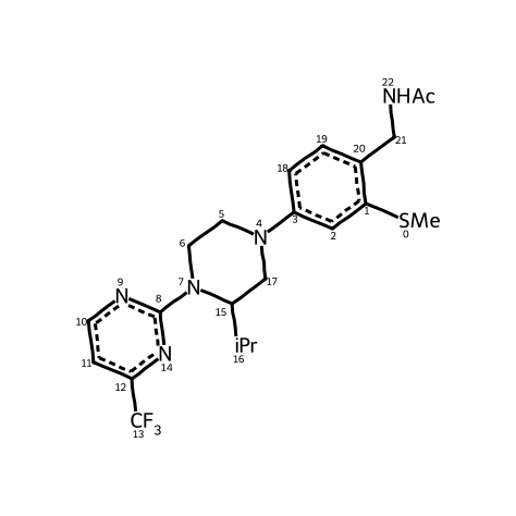 CSc1cc(N2CCN(c3nccc(C(F)(F)F)n3)C(C(C)C)C2)ccc1CNC(C)=O